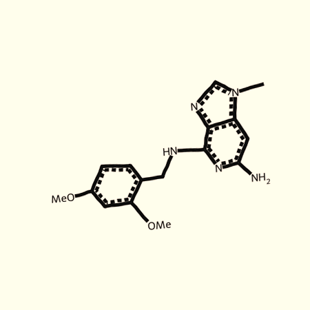 COc1ccc(CNc2nc(N)cc3c2ncn3C)c(OC)c1